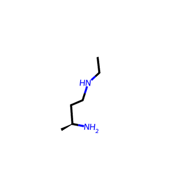 CCNCC[C@H](C)N